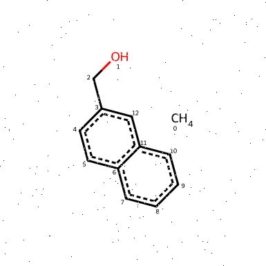 C.OCc1ccc2ccccc2c1